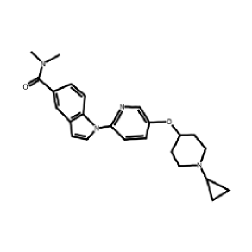 CN(C)C(=O)c1ccc2c(ccn2-c2ccc(OC3CCN(C4CC4)CC3)cn2)c1